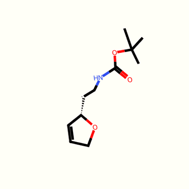 CC(C)(C)OC(=O)NC[CH][C@H]1C=CCO1